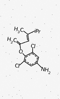 C=C(/C=C(\C)C(C)C)Oc1c(Cl)cc(N)cc1Cl